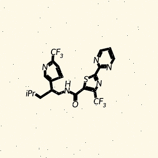 CC(C)CC(CNC(=O)c1sc(-c2ncccn2)nc1C(F)(F)F)c1ccc(C(F)(F)F)nc1